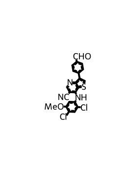 COc1cc(Nc2c(C#N)cnc3c(-c4ccc(C=O)cc4)csc23)c(Cl)cc1Cl